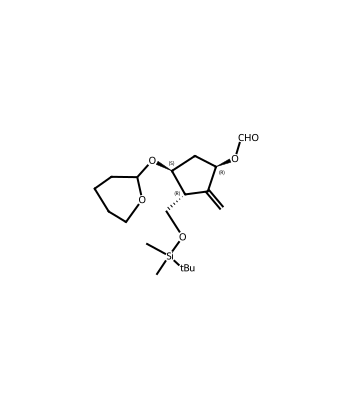 C=C1[C@H](OC=O)C[C@H](OC2CCCCO2)[C@H]1CO[Si](C)(C)C(C)(C)C